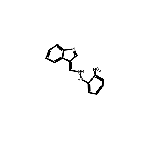 O=[N+]([O-])c1ccccc1NN/C=C1\C=Nc2ccccc21